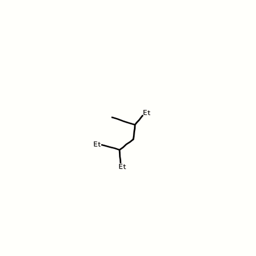 [CH2]CC(C)CC(C[CH2])CC